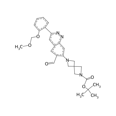 COCOc1ccccc1-c1cc2cc(C=O)c(N3CC4(CN(C(=O)OC(C)(C)C)C4)C3)cc2nn1